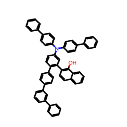 Oc1c(-c2cc(N(c3ccc(-c4ccccc4)cc3)c3ccc(-c4ccccc4)cc3)ccc2-c2ccc(-c3cccc(-c4ccccc4)c3)cc2)ccc2ccccc12